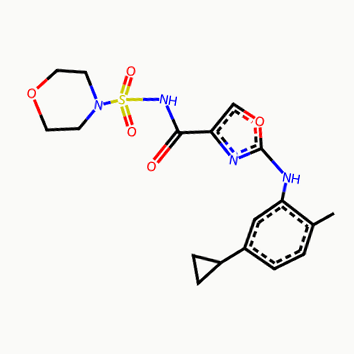 Cc1ccc(C2CC2)cc1Nc1nc(C(=O)NS(=O)(=O)N2CCOCC2)co1